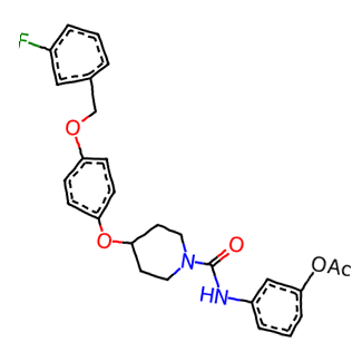 CC(=O)Oc1cccc(NC(=O)N2CCC(Oc3ccc(OCc4cccc(F)c4)cc3)CC2)c1